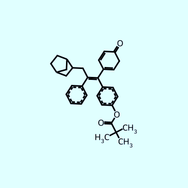 CC(C)(C)C(=O)Oc1ccc(/C(C2=CCC(=O)C=C2)=C(/CC2CC3CCC2C3)c2ccccc2)cc1